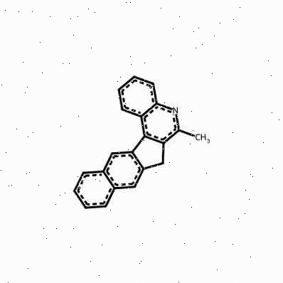 Cc1nc2ccccc2c2c1Cc1cc3ccccc3cc1-2